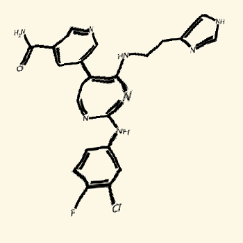 NC(=O)c1cncc(-c2cnc(Nc3ccc(F)c(Cl)c3)nc2NCCc2c[nH]cn2)c1